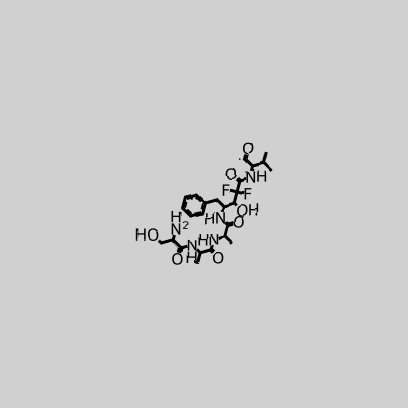 CC(NC(=O)C(N)CO)C(=O)NC(C)C(=O)NC(Cc1ccccc1)C(O)C(F)(F)C(=O)NC([C]=O)C(C)C